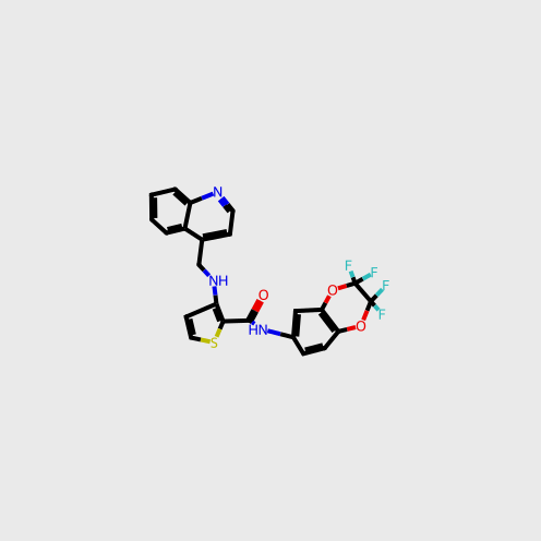 O=C(Nc1ccc2c(c1)OC(F)(F)C(F)(F)O2)c1sccc1NCc1ccnc2ccccc12